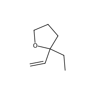 C=CC1(CC)CCCO1